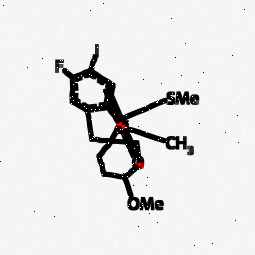 COC1CCC2(CC1)Cc1cc(F)c(I)cc1C21N=C(SC)N(C)C1=O